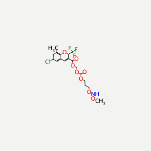 CONOCCCOC(=O)OCOC(=O)C1=Cc2cc(Cl)cc(C)c2OC1C(F)(F)F